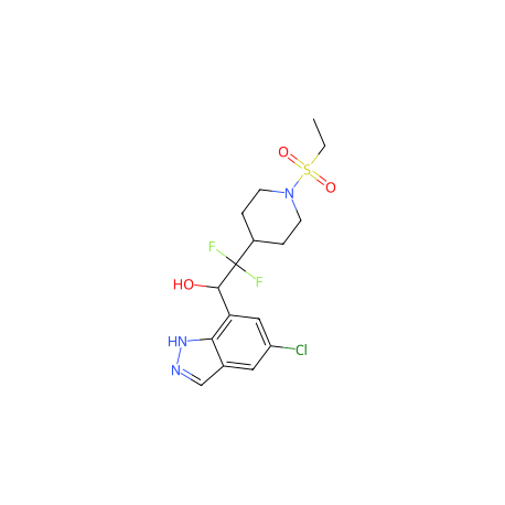 CCS(=O)(=O)N1CCC(C(F)(F)C(O)c2cc(Cl)cc3cn[nH]c23)CC1